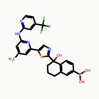 Cc1cc(Nc2cc(C(F)(F)F)ccn2)nc(-c2cnc(C3(O)CCCc4cc(B(O)O)ccc43)s2)c1